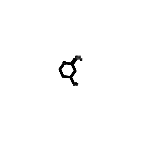 C=C1CC(C(C)C)CCO1